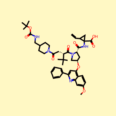 C=CC1CC1(NC(=O)[C@@H]1C[C@@H](Oc2cc(-c3ccccc3)nc3cc(OC)ccc23)CN1C(=O)[C@@H](CC(=O)N1CCC(CNC(=O)OC(C)(C)C)CC1)C(C)(C)C)C(=O)O